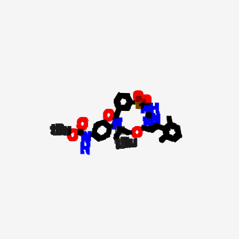 Cc1cccc(C)c1-c1cc2nc(n1)NS(=O)(=O)c1cccc(c1)C(=O)N([C@H]1CC[C@@H](NC(=O)OC(C)(C)C)CC1)[C@H](CC(C)(C)C)CO2